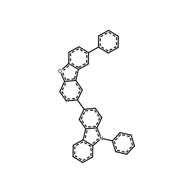 c1ccc(-c2ccc3oc4ccc(-c5ccc6c(c5)c5ccccc5n6-c5ccccc5)cc4c3c2)cc1